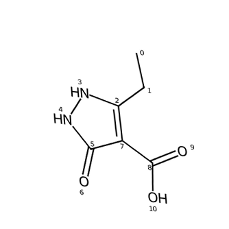 CCc1[nH][nH]c(=O)c1C(=O)O